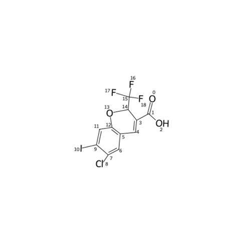 O=C(O)C1=Cc2cc(Cl)c(I)cc2OC1C(F)(F)F